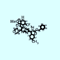 COC(=O)C1(Cc2nn3cc([C@@H](NC(=O)OCc4ccccc4)C4CCC(C)CC4)nc3nc2N2CCOCC2)C[C@@H](C(F)(F)F)CNC1=O